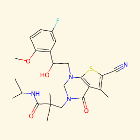 COc1ccc(F)cc1C(O)CN1CN(CC(C)(C)C(=O)NC(C)C)C(=O)c2c1sc(C#N)c2C